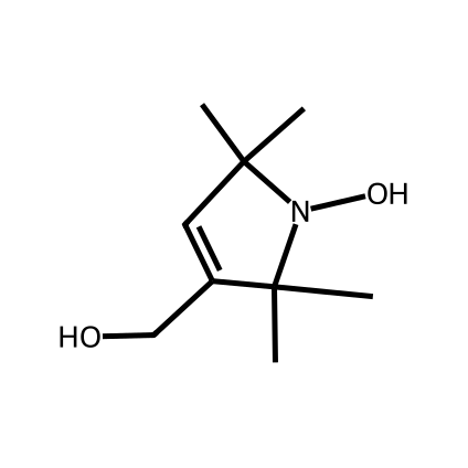 CC1(C)C=C(CO)C(C)(C)N1O